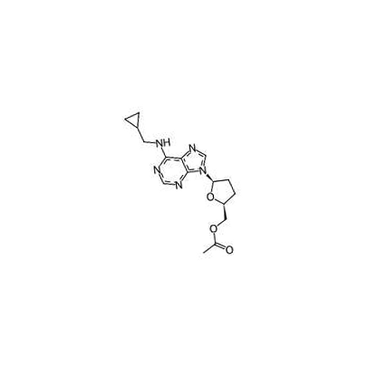 CC(=O)OC[C@@H]1CC[C@H](n2cnc3c(NCC4CC4)ncnc32)O1